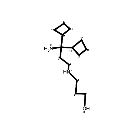 NC(CCNCCCO)(C1CCC1)C1CCC1